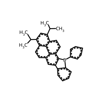 CC(C)c1cc(C(C)C)c2ccc3c4c(cc5ccc1c2c53)-c1ccccc1B4c1ccccc1